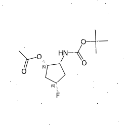 CC(=O)O[C@H]1C[C@@H](F)CC1NC(=O)OC(C)(C)C